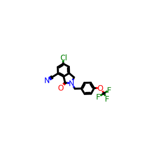 N#Cc1cc(Cl)cc2c1C(=O)N(Cc1ccc(OC(F)(F)F)cc1)C2